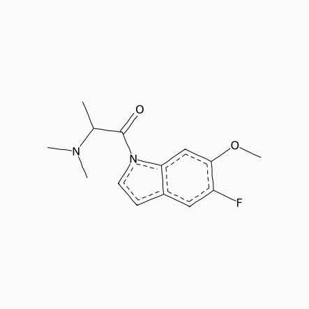 COc1cc2c(ccn2C(=O)C(C)N(C)C)cc1F